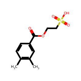 Cc1ccc(C(=O)OCCS(=O)(=O)O)cc1C